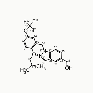 CC(C)COc1ccc(OC(F)(F)F)cc1Cn1ncc2cc(CO)ccc21